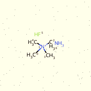 C[N+](C)(C)C.F.N